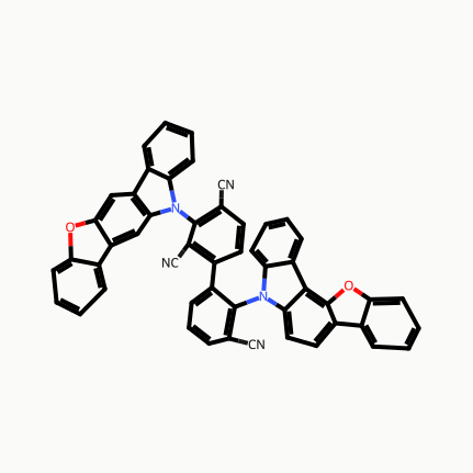 N#Cc1ccc(-c2cccc(C#N)c2-n2c3ccccc3c3c4oc5ccccc5c4ccc32)c(C#N)c1-n1c2ccccc2c2cc3oc4ccccc4c3cc21